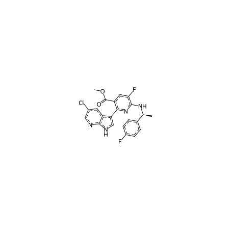 COC(=O)c1cc(F)c(N[C@@H](C)c2ccc(F)cc2)nc1-c1c[nH]c2ncc(Cl)cc12